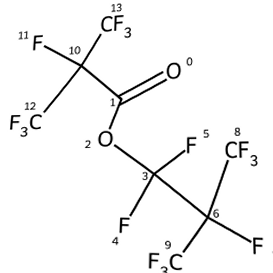 O=C(OC(F)(F)C(F)(C(F)(F)F)C(F)(F)F)C(F)(C(F)(F)F)C(F)(F)F